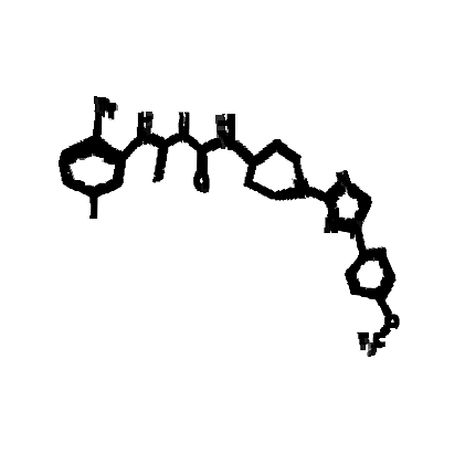 Cc1ccc(C(C)C)c(NC(=S)NC(=O)NC2CCN(c3ncn(-c4ccc(OC(F)(F)F)cc4)n3)CC2)c1